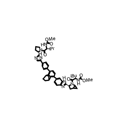 CCC(C)[C@H](NC(=O)OC)C(=O)N1C2CC2C[C@H]1c1nc2ccc(-c3ccc(-c4ccc(-c5cnc([C@@H]6CCCN6C(=O)[C@@H](NC(=O)OC)C(C)C)[nH]5)cc4)c4c3C3CCC4C3)cc2[nH]1